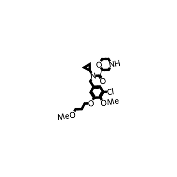 COCCCOc1cc(CN(C(=O)[C@H]2CNCCO2)C2CC2)cc(Cl)c1OC